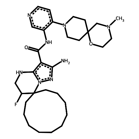 CN1CCOC2(CCN(c3ccncc3NC(=O)c3c(N)nn4c3NCC(F)C43CCCCCCCCCC3)CC2)C1